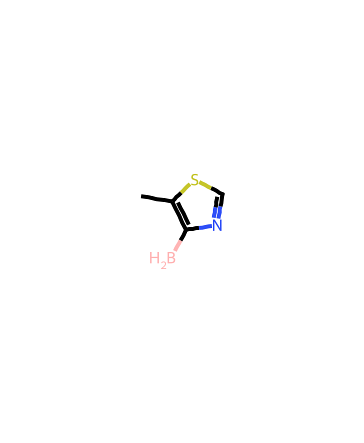 Bc1ncsc1C